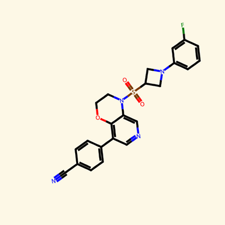 N#Cc1ccc(-c2cncc3c2OCCN3S(=O)(=O)C2CN(c3cccc(F)c3)C2)cc1